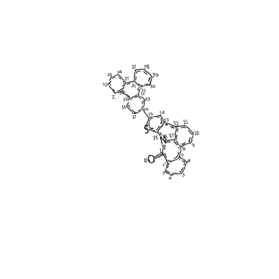 O=c1c2ccccc2c2cccc3c4cc(-c5ccc6c7ccccc7c7ccccc7c6c5)sc4n1c23